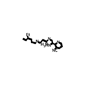 C=C\C(=C/C=C\N=C\C=C(N)\N=C/C(=N)c1ncccc1C#N)CC